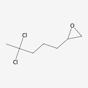 CC(Cl)(Cl)CCCC1CO1